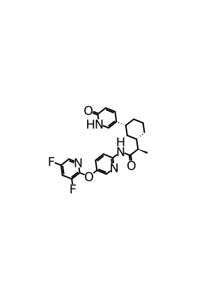 C[C@@H](C(=O)Nc1ccc(Oc2ncc(F)cc2F)cn1)[C@H]1CCC[C@@H](c2ccc(=O)[nH]c2)C1